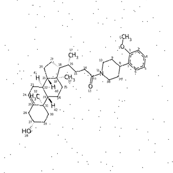 COc1ccccc1C1CCN(C(=O)CC[C@@H](C)[C@H]2CC[C@H]3[C@@H]4CC=C5C[C@@H](O)CC[C@]5(C)[C@H]4CC[C@]23C)CC1